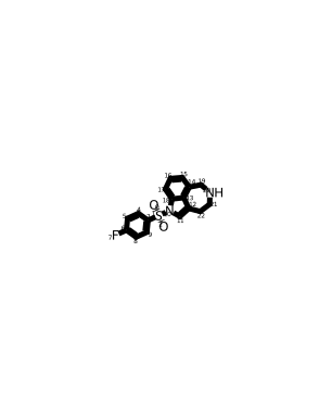 O=S(=O)(c1ccc(F)cc1)n1cc2c3c(cccc31)CNCC2